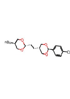 CCCC[C@H]1CO[C@H](CC[C@H]2CO[C@H](c3ccc(C#N)cc3)OC2)OC1